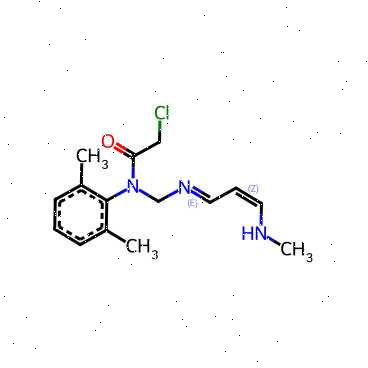 CN/C=C\C=N\CN(C(=O)CCl)c1c(C)cccc1C